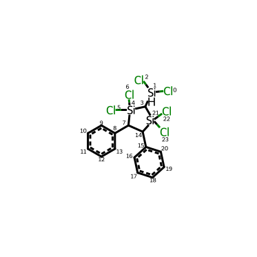 Cl[SiH](Cl)C1[Si](Cl)(Cl)C(c2ccccc2)C(c2ccccc2)[Si]1(Cl)Cl